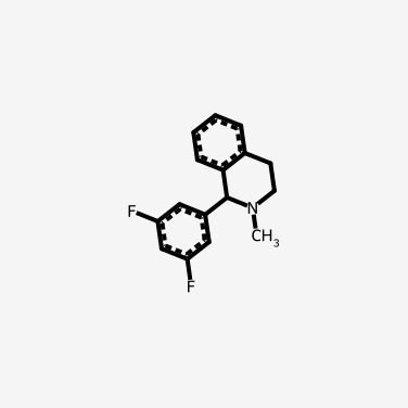 CN1CCc2ccccc2C1c1cc(F)cc(F)c1